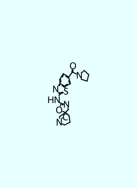 O=C(c1ccc2nc(NC3=NCC4(CN5CCC4CC5)O3)sc2c1)N1CCCC1